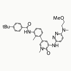 COCCN(C)c1ccc(Nc2cc(-c3cccc(NC(=O)c4ccc(C(C)(C)C)cc4)c3C)cn(C)c2=O)nn1